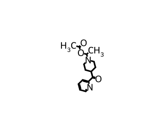 CC(=O)OC(C)N1CCC(C(=O)c2ccccn2)CC1